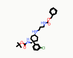 CC(C)(C)OC(=O)NC[C@]1(c2cccc(Cl)c2)CC[C@H](NCCCNC(=O)OCc2ccccc2)CC1